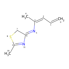 C=C/C=C(C)\N=C1/CSC(C)=N1